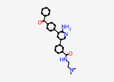 CN(C)CCNC(=O)c1cccc(-c2cnc(N)c(-c3ccc(C(=O)c4ccccc4)cc3)c2)c1